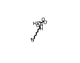 COC(=O)C(CS)NC(=O)CCCCCCCN(C)C